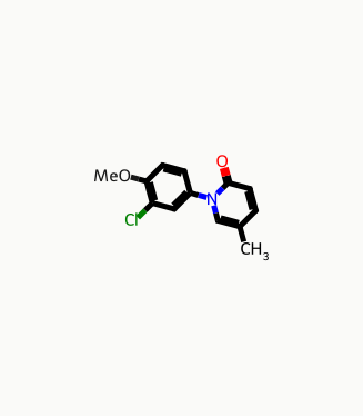 COc1ccc(-n2cc(C)ccc2=O)cc1Cl